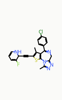 Cc1c(C#CC2NC=CC=C2F)sc2c1C(c1ccc(Cl)cc1)=NCc1nnc(C)n1-2